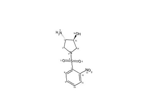 N[C@H]1CN(S(=O)(=O)c2ccccc2[N+](=O)[O-])C[C@@H]1O